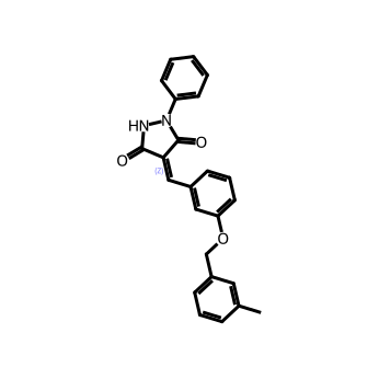 Cc1cccc(COc2cccc(/C=C3/C(=O)NN(c4ccccc4)C3=O)c2)c1